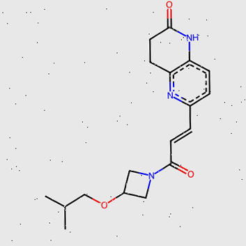 CC(C)COC1CN(C(=O)C=Cc2ccc3c(n2)CCC(=O)N3)C1